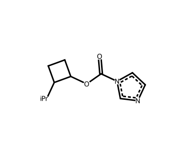 CC(C)C1CCC1OC(=O)n1ccnc1